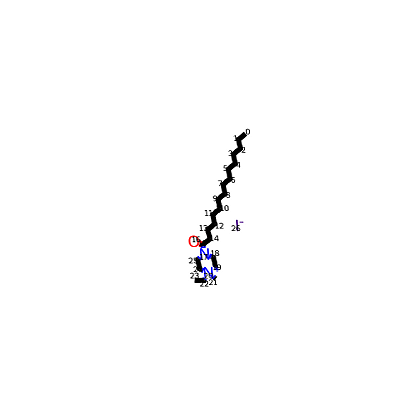 CCCCCCCCCCCCCCCC(=O)N1CC[N+](C)(CC)CC1.[I-]